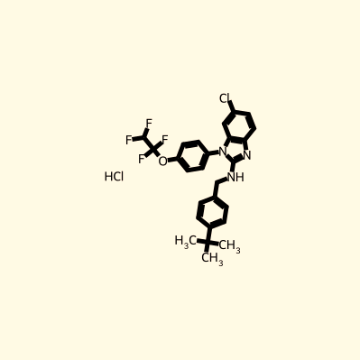 CC(C)(C)c1ccc(CNc2nc3ccc(Cl)cc3n2-c2ccc(OC(F)(F)C(F)F)cc2)cc1.Cl